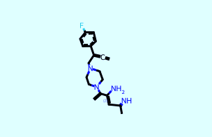 C=C=C(CN1CCN(C(=C)/C(N)=C/C(C)=N)CC1)c1ccc(F)cc1